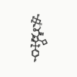 Cn1nc(C(F)(F)c2ccc(F)cc2)c(C2CCC2)c1NC(=O)C[C@H]1CC(F)(F)C1(F)F